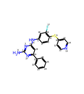 Nc1nc(Nc2ccc(Sc3ccncc3)c(F)c2)cc(-c2ccccc2)n1